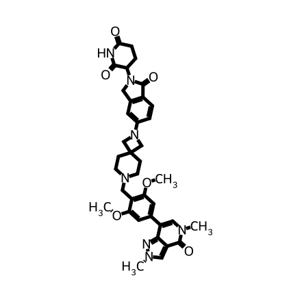 COc1cc(-c2cn(C)c(=O)c3cn(C)nc23)cc(OC)c1CN1CCC2(CC1)CN(c1ccc3c(c1)CN(C1CCC(=O)NC1=O)C3=O)C2